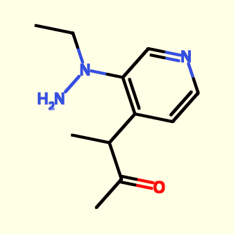 CCN(N)c1cnccc1C(C)C(C)=O